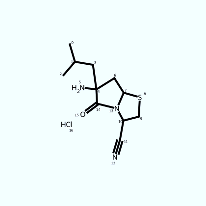 CC(C)CC1(N)CC2SCC(C#N)N2C1=O.Cl